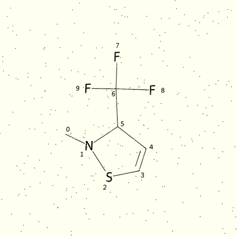 CN1SC=CC1C(F)(F)F